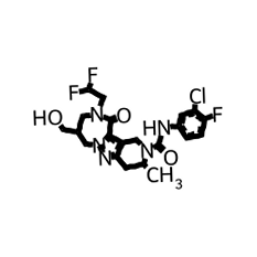 CC1Cc2nn3c(c2CN1C(=O)Nc1ccc(F)c(Cl)c1)C(=O)N(CC(F)F)CC(CO)C3